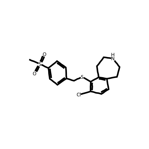 CS(=O)(=O)c1ccc(CSc2c(Cl)ccc3c2CCNCC3)cc1